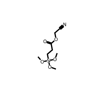 CO[Si](CCC(=O)OCC#N)(OC)OC